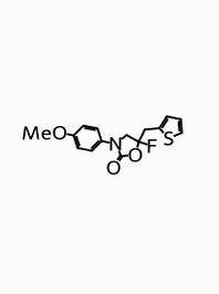 COc1ccc(N2CC(F)(Cc3cccs3)OC2=O)cc1